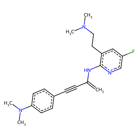 C=C(C#Cc1ccc(N(C)C)cc1)Nc1ncc(F)cc1CCN(C)C